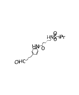 CC(C)S(=O)(=O)NCCCCC(=O)Nc1ccc(CCCC=O)cc1